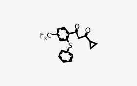 O=C(CC(=O)C1CC1)c1ccc(C(F)(F)F)cc1Sc1ccccc1